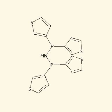 c1cc(P(NP(c2ccsc2)c2ccsc2)c2ccsc2)cs1